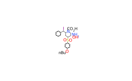 CCCCOc1ccc(S(=O)(=O)C2CCN(C(=O)O)C(C(I)c3ccccc3)C2)cc1.NO